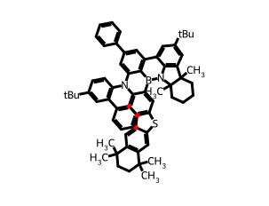 CC(C)(C)c1ccc(N2c3cc4c(cc3B3c5c(cc(-c6ccccc6)cc52)-c2cc(C(C)(C)C)cc5c2N3C2(C)CCCCC52C)sc2cc3c(cc24)C(C)(C)CCC3(C)C)c(-c2ccccc2)c1